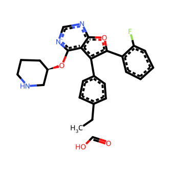 CCc1ccc(-c2c(-c3ccccc3F)oc3ncnc(O[C@@H]4CCCNC4)c23)cc1.O=CO